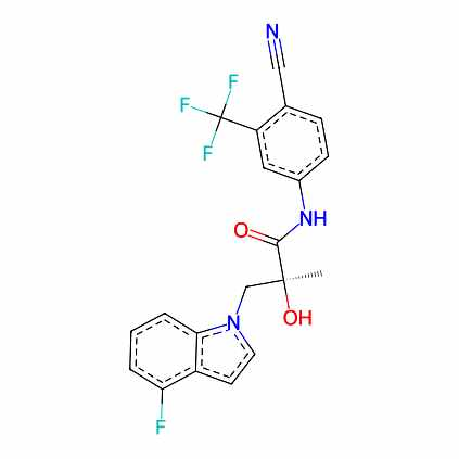 C[C@](O)(Cn1ccc2c(F)cccc21)C(=O)Nc1ccc(C#N)c(C(F)(F)F)c1